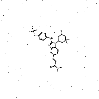 C[C@H]1CC(n2c(Nc3ccc(OC(F)(F)F)cc3)nc3cc(/C=C/C(=O)N(C)C)ccc32)CC(C)(C)C1